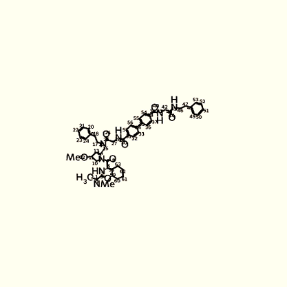 CN[C@@H](C)C(=O)N[C@H](C(=O)N1C[C@@H](OC)C[C@H]1CN(CCc1ccccc1)C(=O)CNC(=O)c1ccc(-c2ccc(C(=O)NCC(=O)NCCc3ccccc3)cc2)cc1)C1CCCCC1